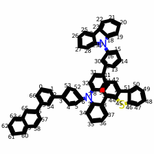 c1cc(-c2ccc(N(c3ccc(-c4cccc(-n5c6ccccc6c6ccccc65)c4)cc3)c3ccccc3-c3cccc4c3sc3ccccc34)cc2)cc(-c2ccc3ccccc3c2)c1